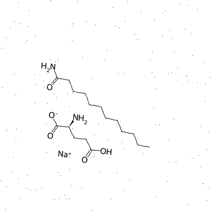 CCCCCCCCCCCC(N)=O.N[C@@H](CCC(=O)O)C(=O)[O-].[Na+]